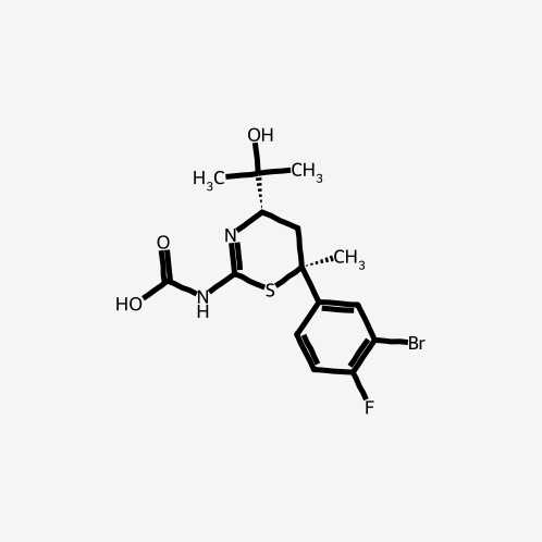 CC(C)(O)[C@@H]1C[C@@](C)(c2ccc(F)c(Br)c2)SC(NC(=O)O)=N1